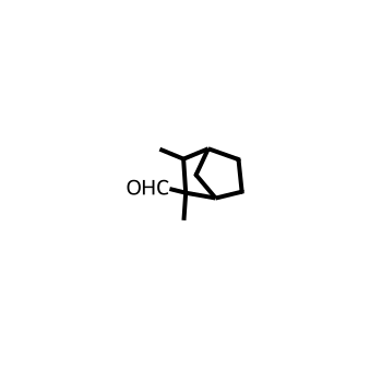 CC1C2CCC(C2)C1(C)C=O